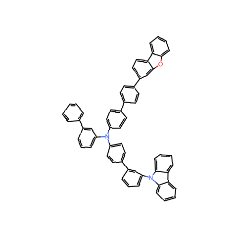 c1ccc(-c2cccc(N(c3ccc(-c4ccc(-c5ccc6c(c5)oc5ccccc56)cc4)cc3)c3ccc(-c4cccc(-n5c6ccccc6c6ccccc65)c4)cc3)c2)cc1